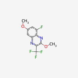 COc1cc(F)c2nc(OC)c(C(F)(F)F)nc2c1